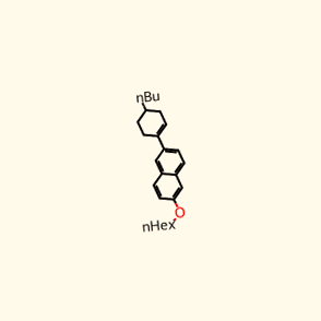 CCCCCCOc1ccc2cc(C3=CCC(CCCC)CC3)ccc2c1